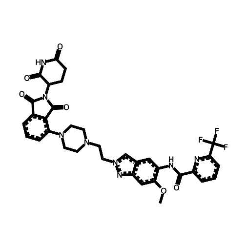 COc1cc2nn(CCN3CCN(c4cccc5c4C(=O)N(C4CCC(=O)NC4=O)C5=O)CC3)cc2cc1NC(=O)c1cccc(C(F)(F)F)n1